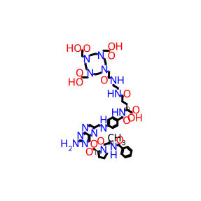 C[C@@H](NC(=O)c1ccccc1)C(=O)N1CCC[C@H]1C(=O)Oc1nc(N)nc2ncc(CNc3ccc(C(=O)N[C@@H](CCC(=O)NCCNC(=O)CN4CCN(CC(=O)O)CCN(CC(=O)O)CCN(CC(=O)O)CC4)C(=O)O)cc3)nc12